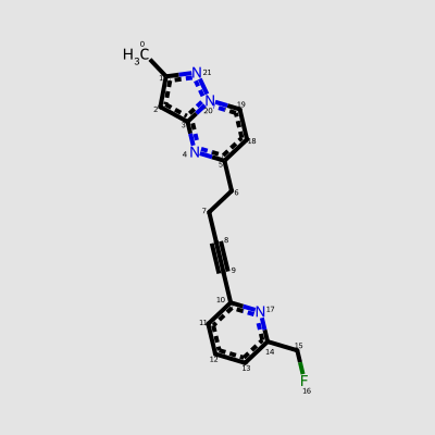 Cc1cc2nc(CCC#Cc3cccc(CF)n3)ccn2n1